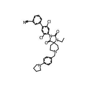 CCN1C(=O)N(c2cc(Cl)c(-c3cccc(C#N)c3)cc2Cl)C(=O)C12CCN(Cc1ccc(N3CCCC3)cc1)CC2